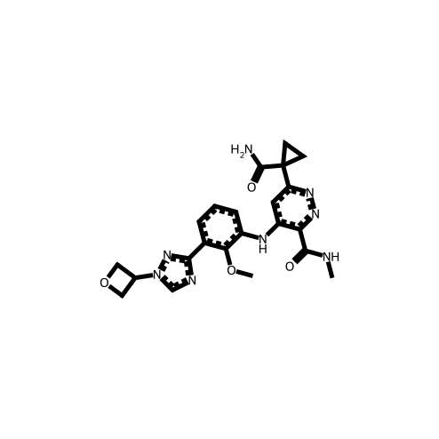 CNC(=O)c1nnc(C2(C(N)=O)CC2)cc1Nc1cccc(-c2ncn(C3COC3)n2)c1OC